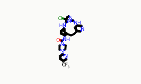 O=C(Nc1ccc2cc1CCc1cncc(c1)Nc1ncc(Cl)c(n1)N2)N1CCN(c2ccc(C(F)(F)F)cn2)CC1